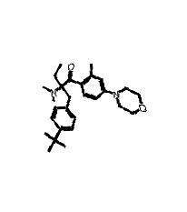 CCC(Cc1ccc(C(C)(C)C)cc1)(C(=O)c1ccc(N2CCOCC2)cc1C)N(C)C